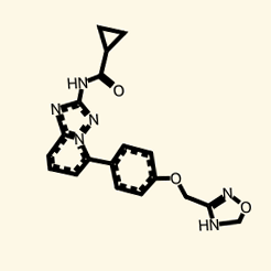 O=C(Nc1nc2cccc(-c3ccc(OCC4=NOCN4)cc3)n2n1)C1CC1